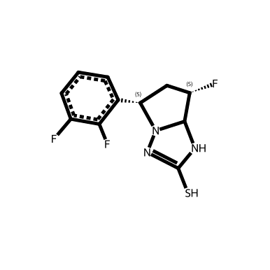 Fc1cccc([C@@H]2C[C@H](F)C3NC(S)=NN32)c1F